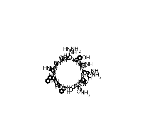 CC[C@@H]1NC(=O)[C@H](Cc2ccccc2)NC(=O)CSC[C@@H](C(=O)NCC(N)=O)NC(=O)[C@H](Cc2cncn2C)NC(=O)[C@H](CCCNC(=N)N)N(C)C(=O)[C@H](Cc2c[nH]cn2)NC(=O)[C@H](Cc2ccc(O)cc2)N(C)C(=O)[C@H](CCCNC(=N)N)NC(=O)[C@H](CO)NC(=O)CNC(=O)[C@H](Cc2c[nH]cn2)NC(=O)[C@H](Cc2cccc3ccccc23)NC1=O